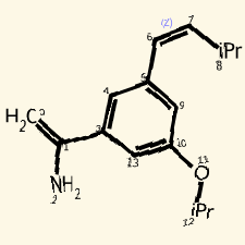 C=C(N)c1cc(/C=C\C(C)C)cc(OC(C)C)c1